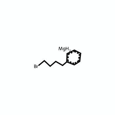 BrCCCCc1ccccc1.[MgH2]